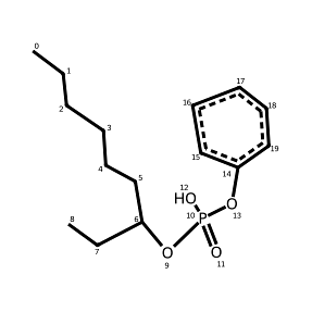 CCCCCCC(CC)OP(=O)(O)Oc1ccccc1